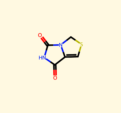 O=C1NC(=O)N2CSC=C12